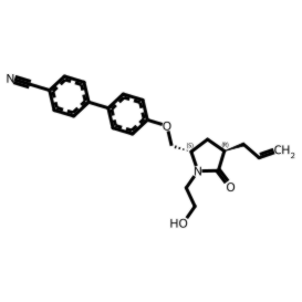 C=CC[C@@H]1C[C@@H](COc2ccc(-c3ccc(C#N)cc3)cc2)N(CCO)C1=O